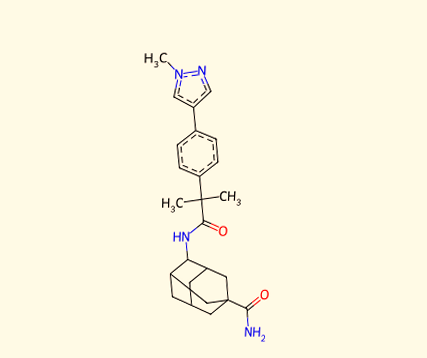 Cn1cc(-c2ccc(C(C)(C)C(=O)NC3C4CC5CC3CC(C(N)=O)(C5)C4)cc2)cn1